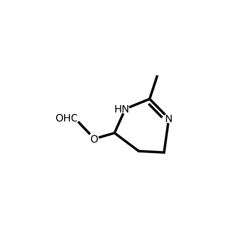 CC1=NCCC(OC=O)N1